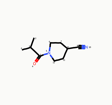 CC(C)C(=O)N1CCC(C#N)CC1